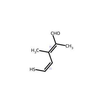 C/C(C=O)=C(C)\C=C/S